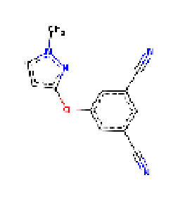 Cn1[c]cc(Oc2cc(C#N)cc(C#N)c2)n1